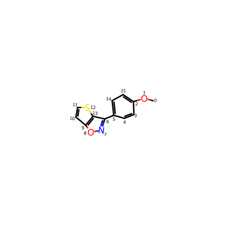 COc1ccc(-c2noc3ccsc23)cc1